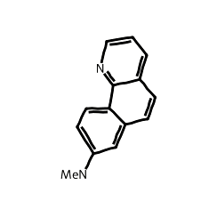 CNc1ccc2c(ccc3cccnc32)c1